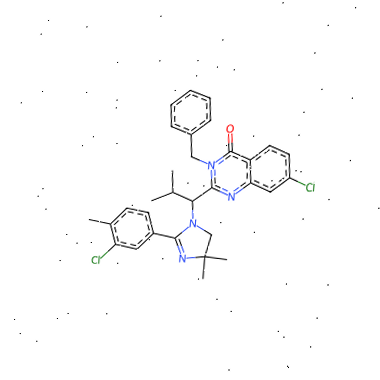 Cc1ccc(C2=NC(C)(C)CN2C(c2nc3cc(Cl)ccc3c(=O)n2Cc2ccccc2)C(C)C)cc1Cl